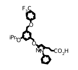 CC(C)Oc1cc(COc2ccc(C(F)(F)F)cc2)cc(COc2cc(CCC(=O)O)n(-c3ccccc3)n2)c1